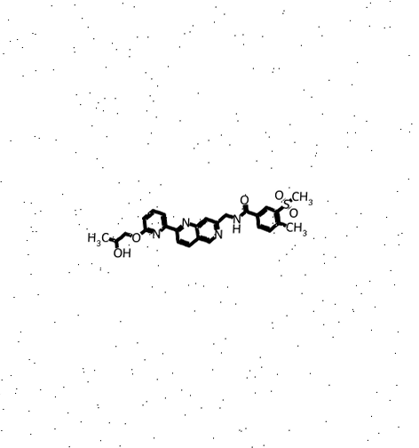 Cc1ccc(C(=O)NCc2cc3nc(-c4cccc(OCC(C)O)n4)ccc3cn2)cc1S(C)(=O)=O